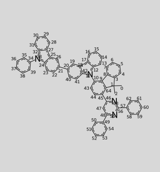 CC1(C)c2ccccc2-c2c(-n3c4ccccc4c4cc(-c5ccc6c(c5)c5ccccc5n6-c5ccccc5)ccc43)ccc(-c3cc(-c4ccccc4)nc(-c4ccccc4)n3)c21